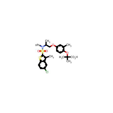 CCCN(C(C)COc1ccc(OC(C)(C)C(=O)O)c(C)c1)S(=O)(=O)c1sc2ccc(Cl)cc2c1C